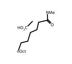 CC(=O)O.CCCCCCCCCCCCCC(=O)NC